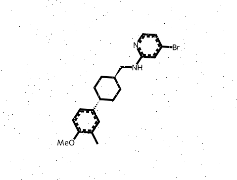 COc1ccc([C@H]2CC[C@H](CNc3cc(Br)ccn3)CC2)cc1C